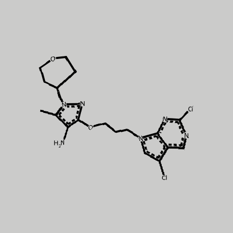 Cc1c(N)c(OCCCn2cc(Cl)c3cnc(Cl)nc32)nn1C1CCOCC1